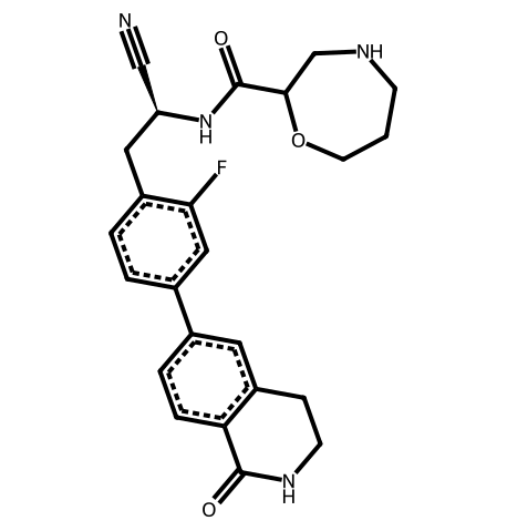 N#C[C@H](Cc1ccc(-c2ccc3c(c2)CCNC3=O)cc1F)NC(=O)C1CNCCCO1